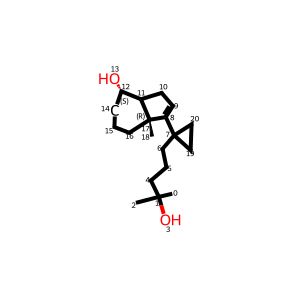 CC(C)(O)CCCC1(C2=CCC3[C@@H](O)CCC[C@@]23C)CC1